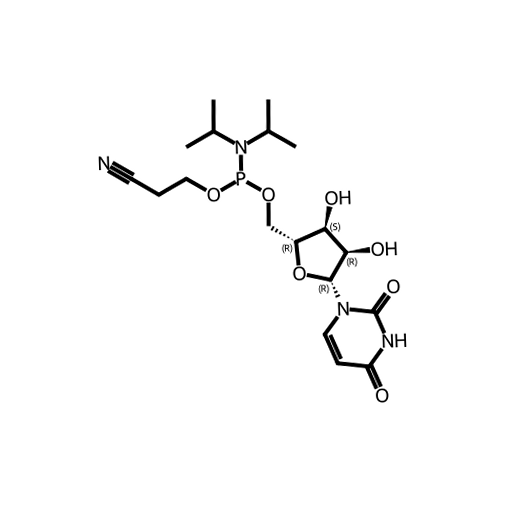 CC(C)N(C(C)C)P(OCCC#N)OC[C@H]1O[C@@H](n2ccc(=O)[nH]c2=O)[C@H](O)[C@@H]1O